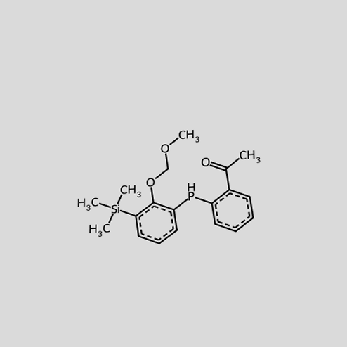 COCOc1c(Pc2ccccc2C(C)=O)cccc1[Si](C)(C)C